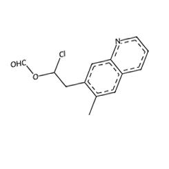 Cc1cc2cccnc2cc1CC(Cl)OC=O